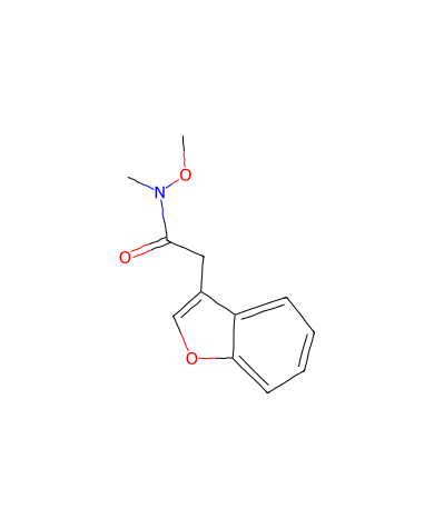 CON(C)C(=O)Cc1coc2ccccc12